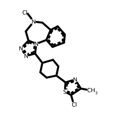 Cc1nc(C2CCC(c3nnc4n3-c3ccccc3CN(Cl)C4)CC2)sc1Cl